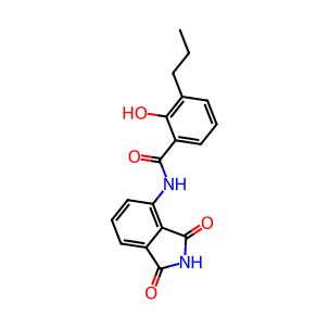 CCCc1cccc(C(=O)Nc2cccc3c2C(=O)NC3=O)c1O